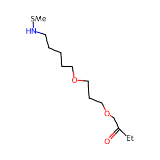 CCC(=O)COCCCOCCCCCNSC